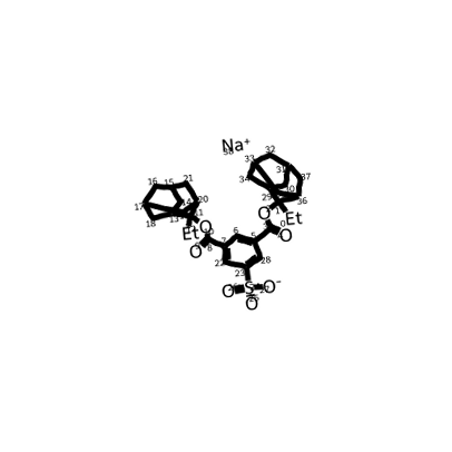 CCC1(OC(=O)c2cc(C(=O)OC3(CC)C4CC5CC(C4)CC3C5)cc(S(=O)(=O)[O-])c2)C2CC3CC(C2)CC1C3.[Na+]